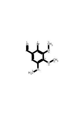 COc1cc(C=O)c(Br)c(OC)c1OC